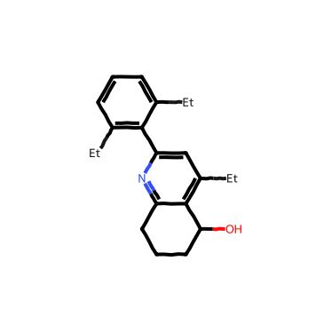 CCc1cccc(CC)c1-c1cc(CC)c2c(n1)CCCC2O